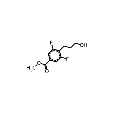 COC(=O)c1cc(F)c(CCCO)c(F)c1